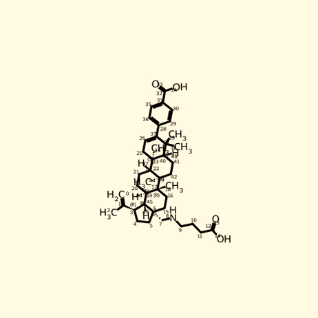 C=C(C)[C@@H]1CC[C@]2(CNCCCC(=O)O)CC[C@]3(C)[C@H](CC[C@@H]4[C@@]5(C)CC=C(c6ccc(C(=O)O)cc6)C(C)(C)[C@@H]5CC[C@]43C)[C@@H]12